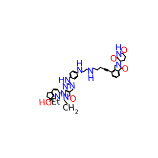 C=CCn1c(=O)c2cnc(Nc3ccc(NCCNCCCC#Cc4cccc5c4CN(C4CCC(=O)NC4=O)C5=O)cc3)nc2n1-c1ccc2c(n1)[C@@](O)(CC)CC2